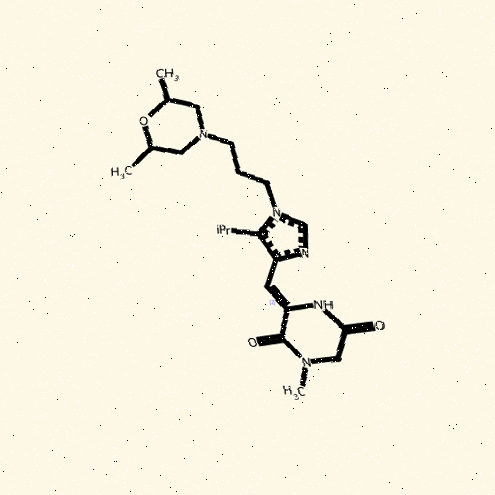 CC1CN(CCCn2cnc(/C=C3\NC(=O)CN(C)C3=O)c2C(C)C)CC(C)O1